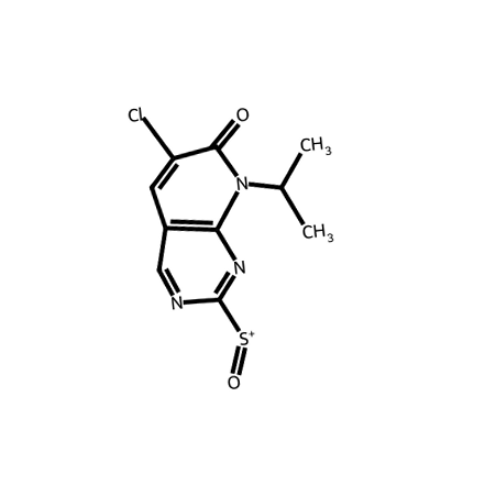 CC(C)n1c(=O)c(Cl)cc2cnc([S+]=O)nc21